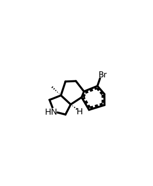 C[C@]12CCc3c(Br)cccc3[C@H]1CNC2